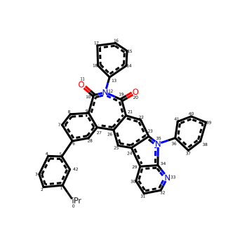 CC(C)c1cccc(-c2ccc3c(=O)n(-c4ccccc4)c(=O)c4cc5c(cc4c3c2)c2cccnc2n5-c2ccccc2)c1